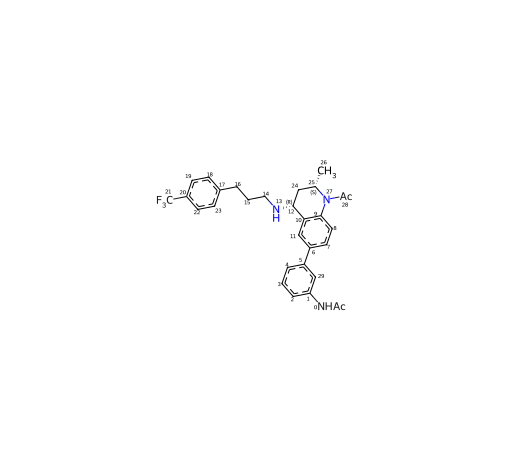 CC(=O)Nc1cccc(-c2ccc3c(c2)[C@H](NCCCc2ccc(C(F)(F)F)cc2)C[C@H](C)N3C(C)=O)c1